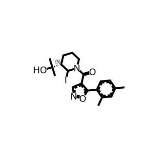 Cc1ccc(-c2oncc2C(=O)N2CCC[C@@H](C(C)(C)O)C2I)c(C)c1